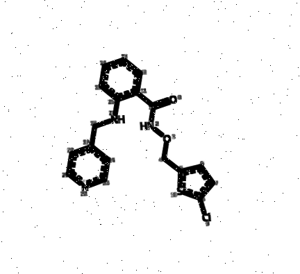 O=C(NOCc1ccc(Cl)s1)c1ccccc1NCc1ccncc1